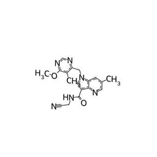 COc1ncnc(Cn2cc(C(=O)NCC#N)c3ncc(C)cc32)c1C